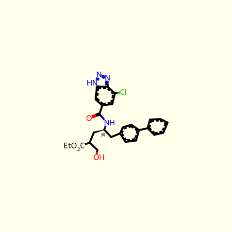 CCOC(=O)C(CO)C[C@H](Cc1ccc(-c2ccccc2)cc1)NC(=O)c1cc(Cl)c2nn[nH]c2c1